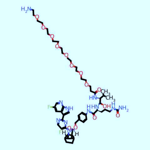 CC(C)[C@H](NC(=O)CCOCCOCCOCCOCCOCCOCCOCCOCCN)C(O)N[C@@H](CCCNC(N)=O)C(=O)Nc1ccc(COC(=O)[C@H]2C3CCC(CC3)[C@@H]2Nc2nc(-c3c[nH]c4ncc(F)cc34)ncc2F)cc1